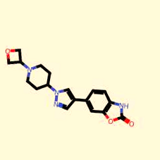 O=c1[nH]c2ccc(-c3cnn(C4CCN(C5COC5)CC4)c3)cc2o1